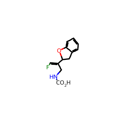 O=C(O)NC/C(=C\F)C1Cc2ccccc2O1